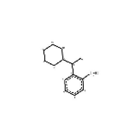 CC(c1ccccc1C=O)C1CCCCC1